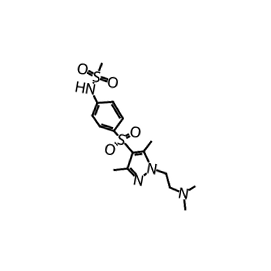 Cc1nn(CCN(C)C)c(C)c1S(=O)(=O)c1ccc(NS(C)(=O)=O)cc1